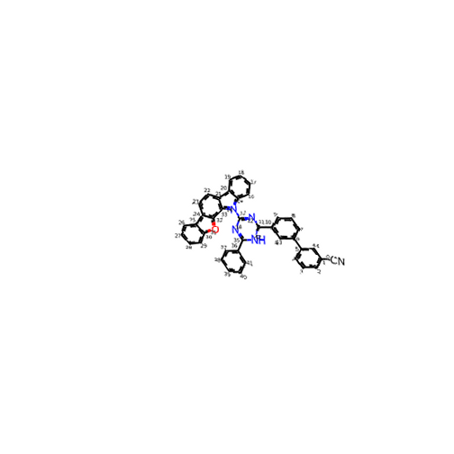 N#Cc1cccc(-c2cccc(C3N=C(n4c5ccccc5c5ccc6c7ccccc7oc6c54)N=C(c4ccccc4)N3)c2)c1